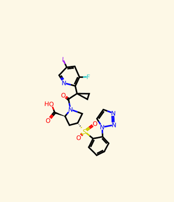 O=C(O)[C@@H]1C[C@@H](S(=O)(=O)c2ccccc2-n2ccnn2)CN1C(=O)C1(c2ncc(I)cc2F)CC1